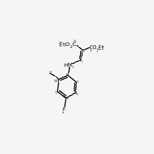 CCOC(=O)C(=CNc1ccc(F)cc1C)C(=O)OCC